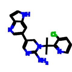 CC(C)(c1ncccc1Cl)N1CC(c2cnc3cc[nH]c3c2)=CN=C1N